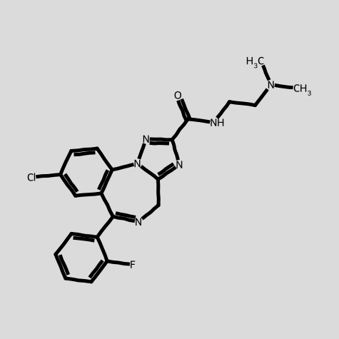 CN(C)CCNC(=O)c1nc2n(n1)-c1ccc(Cl)cc1C(c1ccccc1F)=NC2